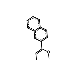 CC=C(OC)c1ccc2ccccc2c1